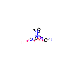 COc1cc(C(=O)N2C[C@H](F)C[C@@H](NC(=O)O)C2)cc2nc(-c3cc4ccccc4n3CC3CC3)n(CC3CN(C(=O)c4ccc(C#N)cc4)C3)c12